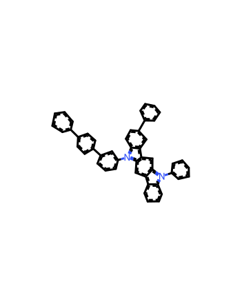 c1ccc(-c2ccc(-c3cccc(-n4c5ccc(-c6ccccc6)cc5c5cc6c(cc54)c4ccccc4n6-c4ccccc4)c3)cc2)cc1